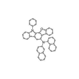 c1ccc(-n2c3ccccc3c3cc(N(c4ccc5ccccc5c4)c4cccc5ccccc45)c4c5ccccc5oc4c32)cc1